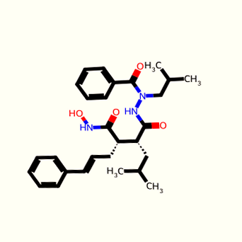 CC(C)C[C@@H](C(=O)NN(CC(C)C)C(=O)c1ccccc1)[C@H](CC=Cc1ccccc1)C(=O)NO